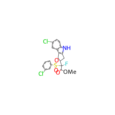 COC(=O)C(F)(C1Cc2[nH]c3ccc(Cl)cc3c2C1)S(=O)(=O)c1cccc(Cl)c1